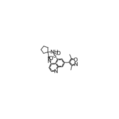 Cc1noc(C)c1-c1cc(S(=O)(=O)NC2(C#N)CCCC2)c2cccnc2c1